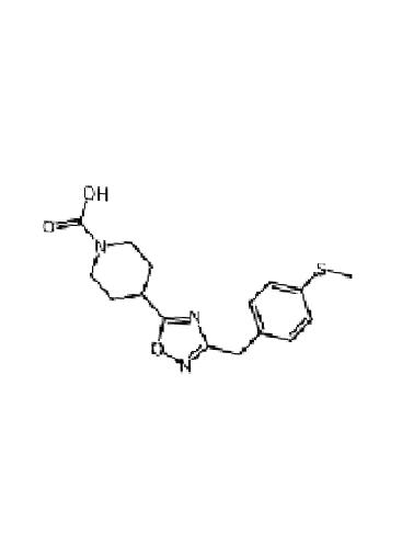 CSc1ccc(Cc2noc(C3CCN(C(=O)O)CC3)n2)cc1